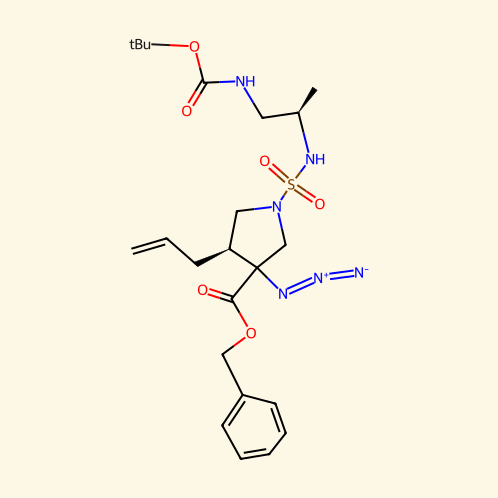 C=CC[C@H]1CN(S(=O)(=O)N[C@H](C)CNC(=O)OC(C)(C)C)CC1(N=[N+]=[N-])C(=O)OCc1ccccc1